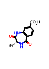 CC(C)[C@H]1NC(=O)c2ccc(C(=O)O)cc2NC1=O